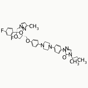 CCC(C)n1cnn(-c2ccc(N3CCN(c4ccc(OC[C@@H]5CO[C@@](Cn6ccc(C)n6)(c6ccc(F)cc6F)O5)cc4)CC3)cc2)c1=O